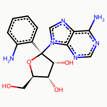 Nc1ccccc1[C@@]1(n2cnc3c(N)ncnc32)O[C@H](CO)[C@@H](O)[C@H]1O